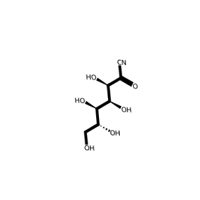 N#CC(=O)[C@H](O)[C@@H](O)[C@H](O)[C@H](O)CO